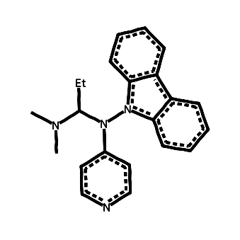 CCC(N(C)C)N(c1ccncc1)n1c2ccccc2c2ccccc21